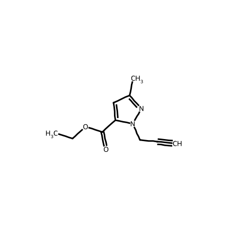 C#CCn1nc(C)cc1C(=O)OCC